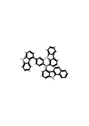 c1ccc2c(c1)ccc1c2oc2cccc(N(c3ccc(-c4cccc5sc6ccccc6c45)cc3)c3cccc4c3sc3ccccc34)c21